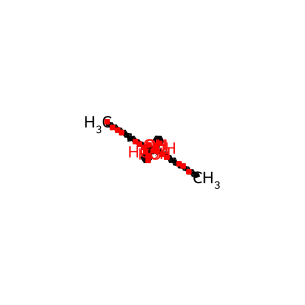 CCCCCCCCCCCCCCCCCCC(O)[C@](O)(Cc1ccccc1)[C@@H](O)[C@H](O)[C@@](O)(Cc1ccccc1)C(O)CCCCCCCCCCCCCCCCCC